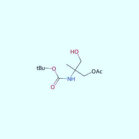 CC(=O)OCC(C)(CO)NC(=O)OC(C)(C)C